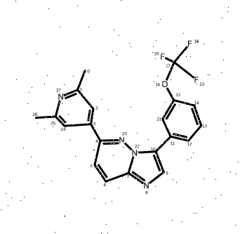 Cc1cc(-c2ccc3ncc(-c4cccc(OC(F)(F)F)c4)n3n2)cc(C)n1